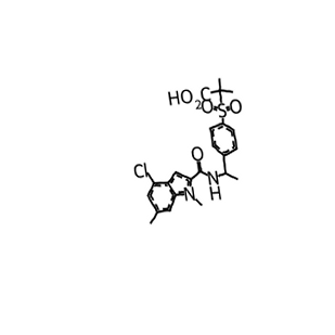 Cc1cc(Cl)c2cc(C(=O)NC(C)c3ccc(S(=O)(=O)C(C)(C)C(=O)O)cc3)n(C)c2c1